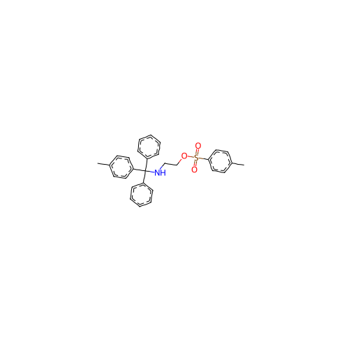 Cc1ccc(C(NCCOS(=O)(=O)c2ccc(C)cc2)(c2ccccc2)c2ccccc2)cc1